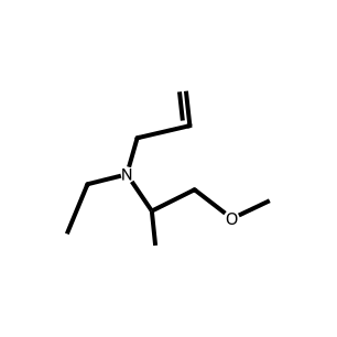 C=CCN(CC)C(C)COC